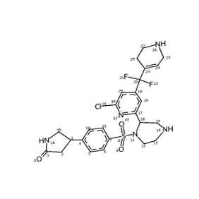 O=C1CC(c2ccc(S(=O)(=O)N3CCNCC3c3cc(C(F)(F)C4=CCNCC4)cc(Cl)n3)cc2)CN1